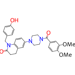 COc1ccc(C(=O)N2CCN(c3ccc4c(c3)CCC(=O)N4Cc3ccc(O)cc3)CC2)cc1OC